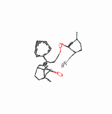 CC1CCC(C(C)C)C(OCC(=C2C(=O)C3(C)CCC2C3(C)C)c2ccccc2)C1